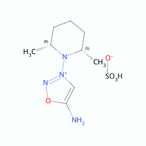 C[C@@H]1CCC[C@H](C)N1[n+]1cc(N)on1.O=S(=O)([O-])O